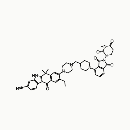 CCc1cc2c(cc1N1CCN(CC3CCN(c4cccc5c4C(=O)N(N4CCC(=O)NC4=O)C5=O)CC3)CC1)C(C)(C)c1[nH]c3cc(C#N)ccc3c1C2=O